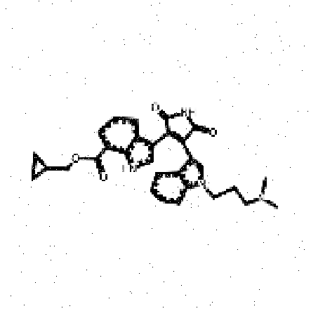 CN(C)CCCn1cc(C2=C(c3c[nH]c4c(C(=O)OCC5CC5)cccc34)C(=O)NC2=O)c2ccccc21